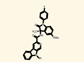 COc1ccc2c(c1)[C@](C)(NC(=O)c1cc3c4ccccc4n(C(C)C)c3cn1)C(=O)N2c1ccc(F)cc1